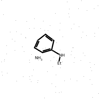 CCNc1ccccc1.N